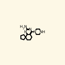 Nc1nc(N2CCNCC2)c2c(n1)C1(CCCC1)CCC2